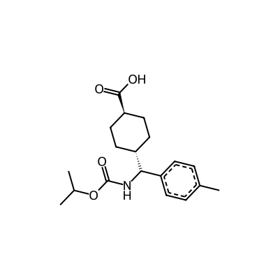 Cc1ccc(C(NC(=O)OC(C)C)[C@H]2CC[C@H](C(=O)O)CC2)cc1